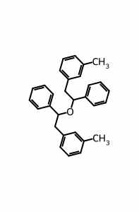 Cc1cccc(CC(OC(Cc2cccc(C)c2)c2ccccc2)c2ccccc2)c1